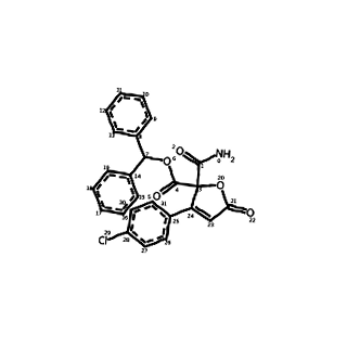 NC(=O)C1(C(=O)OC(c2ccccc2)c2ccccc2)OC(=O)C=C1c1ccc(Cl)cc1